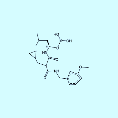 COc1cccc(CNC(=O)C(CC2CC2)C(=O)N[C@@H](CC(C)C)OB(O)O)c1